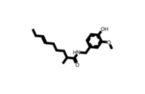 CCC=CCCCC(C)C(=O)NCc1ccc(O)c(OC)c1